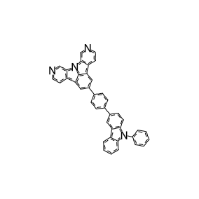 c1ccc(-n2c3ccccc3c3cc(-c4ccc(-c5cc6c7ccncc7n7c8cnccc8c(c5)c67)cc4)ccc32)cc1